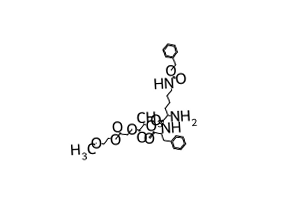 COCCOC(=O)COC(=O)C(C)OC(=O)C(Cc1ccccc1)NC(=O)C(N)CCCCNC(=O)OCc1ccccc1